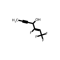 CC#CC(O)C(F)=CC(F)(F)F